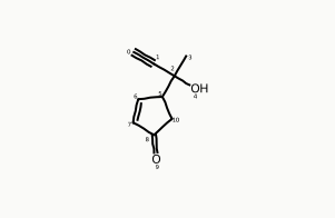 C#CC(C)(O)C1C=CC(=O)C1